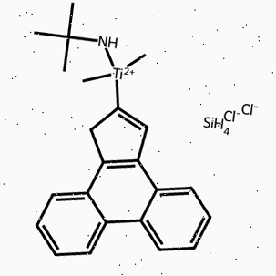 CC(C)(C)[NH][Ti+2]([CH3])([CH3])[C]1=Cc2c(c3ccccc3c3ccccc23)C1.[Cl-].[Cl-].[SiH4]